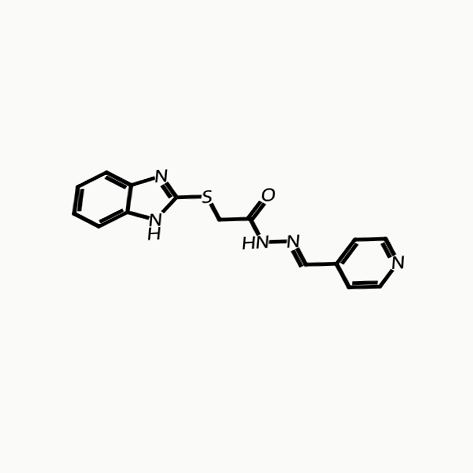 O=C(CSc1nc2ccccc2[nH]1)N/N=C/c1ccncc1